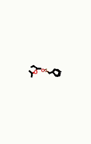 CCC(COS[CH]c1ccccc1)OC(C)C